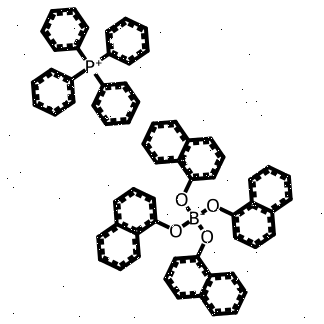 c1ccc([P+](c2ccccc2)(c2ccccc2)c2ccccc2)cc1.c1ccc2c(O[B-](Oc3cccc4ccccc34)(Oc3cccc4ccccc34)Oc3cccc4ccccc34)cccc2c1